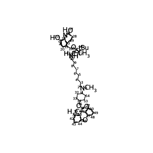 CN(CCCCCCCCCNC[C@@H](O[Si](C)(C)C(C)(C)C)c1ccc(O)c2[nH]c(=O)ccc12)C1CCC(OC(=O)C2(C)c3ccccc3Oc3ccccc32)CC1